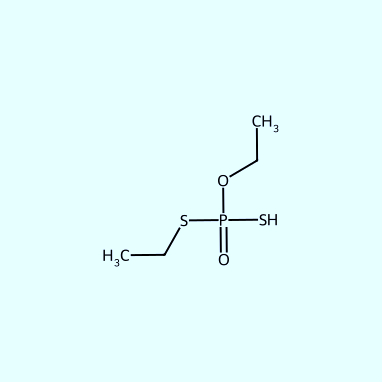 CCOP(=O)(S)SCC